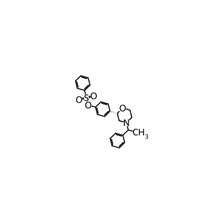 CC(c1ccccc1)N1CCO[C@@H](c2ccc(OS(=O)(=O)c3ccccc3)cc2)C1